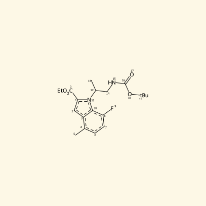 CCOC(=O)c1cc2c(C)ccc(F)c2n1C(C)CNC(=O)OC(C)(C)C